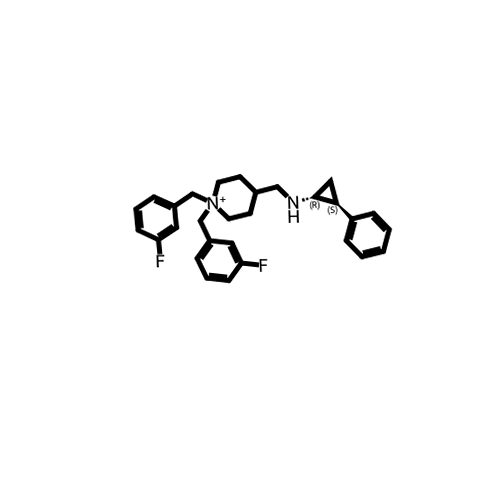 Fc1cccc(C[N+]2(Cc3cccc(F)c3)CCC(CN[C@@H]3C[C@H]3c3ccccc3)CC2)c1